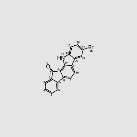 O=C1c2ccccc2-c2ccc3c([nH]c4ccc(Br)cc43)c21